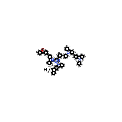 CC1(C)c2ccccc2-c2cc3c4ccccc4n(-c4nc(-c5cccc(-c6cccc(-n7c8ccccc8c8ccc(-c9ccc%10c(c9)c9ccccc9n%10-c9ccccc9)cc87)c6)c5)cc(-n5c6ccccc6c6cc(-c7ccc8oc9ccccc9c8c7)ccc65)n4)c3cc21